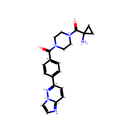 NC1(C(=O)N2CCN(C(=O)c3ccc(-c4ccc5nccn5n4)cc3)CC2)CC1